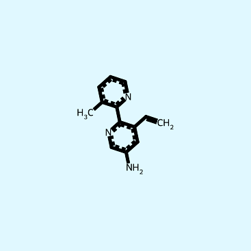 C=Cc1cc(N)cnc1-c1ncccc1C